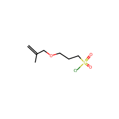 C=C(C)COCCCS(=O)(=O)Cl